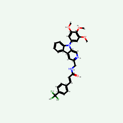 COc1cc(-n2c3ccccc3c3cc(CNC(=O)/C=C/c4ccc(C(F)(F)F)cc4)ncc32)cc(OC)c1OC